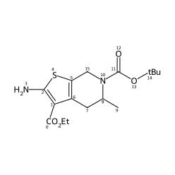 CCOC(=O)c1c(N)sc2c1CC(C)N(C(=O)OC(C)(C)C)C2